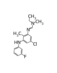 CCN(C)C=Nc1cc(Cl)cc(Nc2cccc(F)c2)c1C